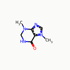 CN1CNC(=O)c2c1ncn2C